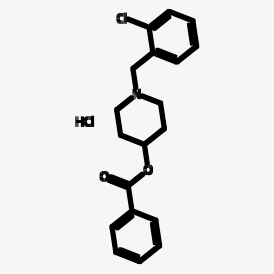 Cl.O=C(OC1CCN(Cc2ccccc2Cl)CC1)c1ccccc1